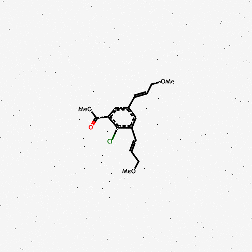 COCC=Cc1cc(C=CCOC)c(Cl)c(C(=O)OC)c1